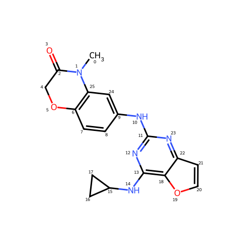 CN1C(=O)COc2ccc(Nc3nc(NC4CC4)c4occc4n3)cc21